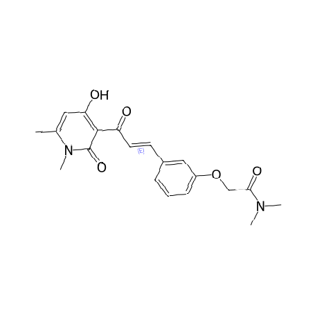 Cc1cc(O)c(C(=O)/C=C/c2cccc(OCC(=O)N(C)C)c2)c(=O)n1C